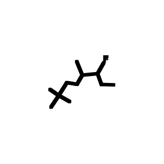 CCC(F)C(C)CCC(C)(C)C